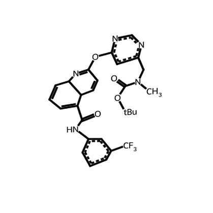 CN(Cc1cc(OC2=NC3C=CC=C(C(=O)Nc4cccc(C(F)(F)F)c4)C3C=C2)ncn1)C(=O)OC(C)(C)C